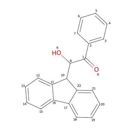 O=C(c1ccccc1)C(O)C1c2ccccc2-c2ccccc21